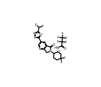 O=C1c2cc(-c3nnc(C(F)F)o3)cnc2CN1C1CCC(F)(F)C[C@H]1NC(=O)C(F)(F)C(F)(F)F